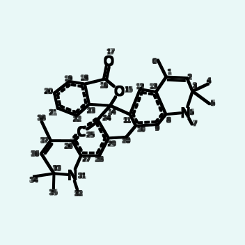 CC1=CC(C)(C)N(C)c2cc3c(cc21)C1(OC(=O)c2ccccc21)c1cc2c(cc1C3)N(C)C(C)(C)C=C2C